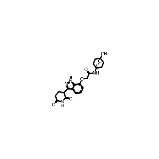 Cn1nc(C2CCC(=O)NC2=O)c2cccc(OCC(=O)NC34CCC(C#N)(CC3)CC4)c21